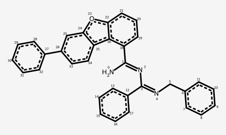 N/C(=N\C(=N/Cc1ccccc1)c1ccccc1)c1cccc2oc3cc(-c4ccccc4)ccc3c12